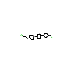 ClCCCc1ccc(-c2ccc(-c3ccc(CCl)cc3)cc2)cc1